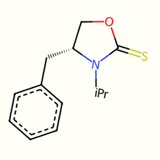 CC(C)N1C(=S)OC[C@H]1Cc1ccccc1